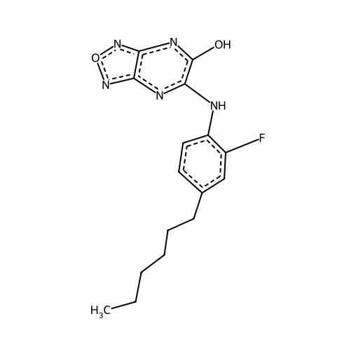 CCCCCCc1ccc(Nc2nc3nonc3nc2O)c(F)c1